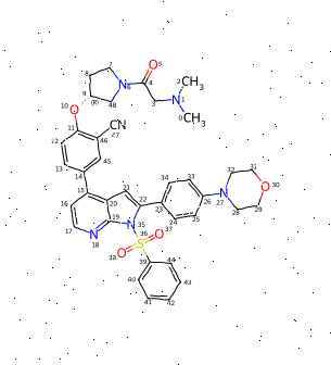 CN(C)CC(=O)N1CC[C@@H](Oc2ccc(-c3ccnc4c3cc(-c3ccc(N5CCOCC5)cc3)n4S(=O)(=O)c3ccccc3)cc2C#N)C1